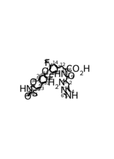 NC(Cc1c[nH]cn1)C(=O)NC(Cc1cc(F)c(Oc2ccc(C=C3SC(=O)NC3=O)cc2)c(F)c1)C(=O)O